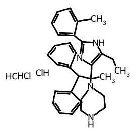 CCc1[nH]c(-c2ccccc2C)nc1C(C)(C(c1ccccc1)c1ccccc1)N1CCNCC1.Cl.Cl.Cl